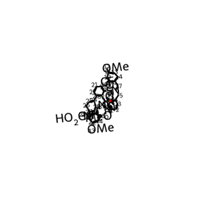 COc1ccc(CN(Cc2ccc(OC)cc2)S(=O)(=O)c2c(C(F)(F)F)ccc(C3=CCC(NC(=O)O)CC3)c2-c2nnnn2Cc2ccc(OC)cc2)cc1